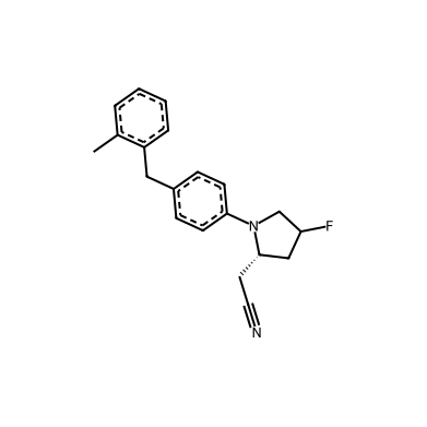 Cc1ccccc1Cc1ccc(N2CC(F)C[C@@H]2CC#N)cc1